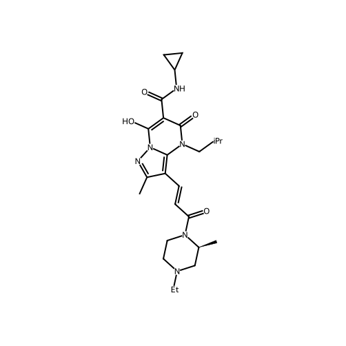 CCN1CCN(C(=O)/C=C/c2c(C)nn3c(O)c(C(=O)NC4CC4)c(=O)n(CC(C)C)c23)[C@@H](C)C1